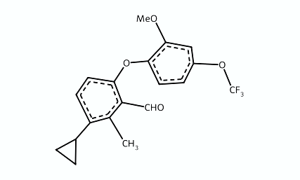 COc1cc(OC(F)(F)F)ccc1Oc1ccc(C2CC2)c(C)c1C=O